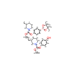 C[C@H]1CC[C@H](c2cccc(B3OC(C)(C)C(C)(C)O3)c2)N(C(=O)OC(C)(C)C)C1.C[C@H]1CC[C@H](c2cccc(O)c2)N(C(=O)OC(C)(C)C)C1